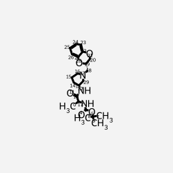 CC(NC(=O)OC(C)(C)C)C(=O)N[C@H]1CCCN(C[C@H]2COc3ccccc3O2)C1